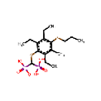 CCCSc1c(C)c(CC)c(SC(P(=O)(O)O)P(=O)(O)O)c(CC)c1CC